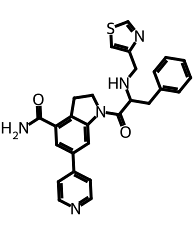 NC(=O)c1cc(-c2ccncc2)cc2c1CCN2C(=O)C(Cc1ccccc1)NCc1cscn1